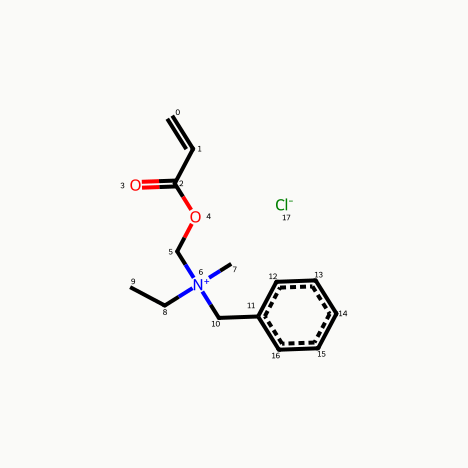 C=CC(=O)OC[N+](C)(CC)Cc1ccccc1.[Cl-]